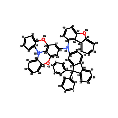 c1ccc(C2(c3ccccc3)c3ccccc3-c3ccc(N(c4cc5c6c(c4)Oc4ccccc4N6c4ccccc4O5)c4cccc5oc6ccccc6c45)cc32)cc1